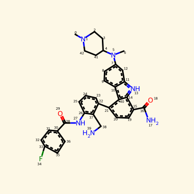 CN1CCC(N(C)c2ccc3c(c2)[nH]c2c(C(N)=O)ccc(-c4cccc(NC(=O)c5ccc(F)cc5)c4CN)c23)CC1